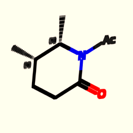 CC(=O)N1C(=O)CC[C@H](C)[C@@H]1C